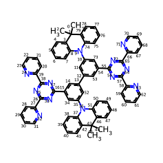 CC1(C)c2ccccc2N(c2cc(-c3cc(-c4nc(-c5ccccn5)nc(-c5ccccn5)n4)cc(N4c5ccccc5C(C)(C)c5ccccc54)c3)cc(-c3nc(-c4ccccn4)nc(-c4ccccn4)n3)c2)c2ccccc21